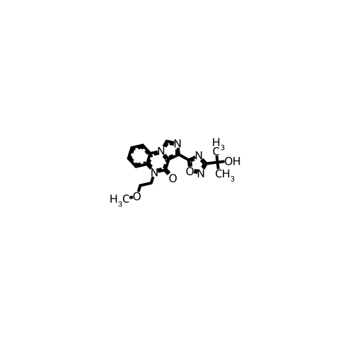 COCCn1c(=O)c2c(-c3nc(C(C)(C)O)no3)ncn2c2ccccc21